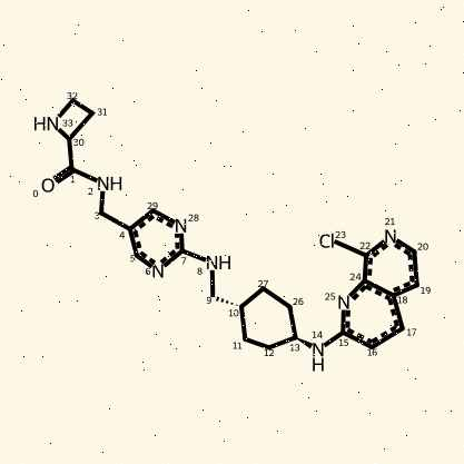 O=C(NCc1cnc(NC[C@H]2CC[C@H](Nc3ccc4ccnc(Cl)c4n3)CC2)nc1)C1CCN1